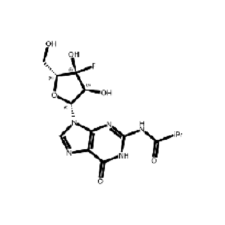 CC(C)C(=O)Nc1nc2c(ncn2[C@@H]2O[C@H](CO)[C@](O)(F)[C@H]2O)c(=O)[nH]1